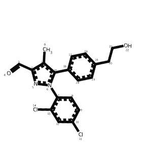 Cc1c(C=O)nn(-c2ccc(Cl)cc2Cl)c1-c1ccc(CCO)cc1